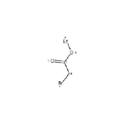 CCOC(=O)[CH]Br